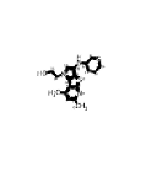 Cc1cc(C)c2c(n1)sc1c(NC3CCCSC3)cn(CCO)c12